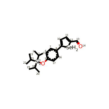 CC(C)[Si](Oc1ccc(C2=CC=C(C=O)[SeH2]2)cc1)(C(C)C)C(C)C